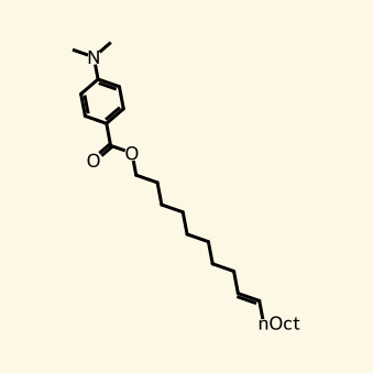 CCCCCCCCC=CCCCCCCCCOC(=O)c1ccc(N(C)C)cc1